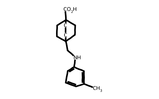 Cc1cccc(NCC23CCC(C(=O)O)(CC2)CC3)c1